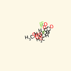 CCC(=O)OCC(=O)[C@@]1(O)[C@@H](C)C[C@H]2[C@@H]3CCC4=CC(=O)C=C(OC(=O)C(F)(F)F)[C@]4(C)[C@@]3(F)CC[C@@]21C